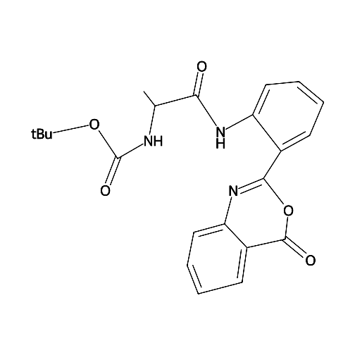 CC(NC(=O)OC(C)(C)C)C(=O)Nc1ccccc1-c1nc2ccccc2c(=O)o1